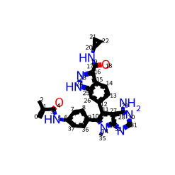 C=C(C)C(=O)Nc1ccc(-c2c(-c3ccc4c(C(=O)NC5CC5)n[nH]c4c3)c3c(N)ncnc3n2C)cc1